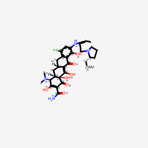 CC=C(CN1CCC[C@@H]1COC)Nc1cc(F)c2c(c1O)C(=O)C1=C(O)[C@]3(O)C(=O)C(C(N)=O)=C(O)[C@@H](N(C)C)[C@@H]3C[C@@H]1C2